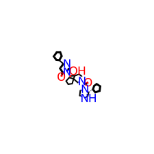 O=C(N1CC[C@@](O)(Cn2cnc(-c3ccccc3)cc2=O)C2(CCCC2)C1)N1CCNC[C@H]1c1ccccc1